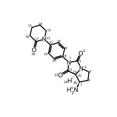 N[C@@H]1CCN2C(=O)N(c3ccc(N4CCCCC4=O)cc3)C(=O)[C@H]12